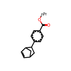 CCCOC(=O)c1ccc(C2CC3C=CC2C3)cc1